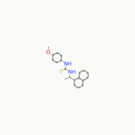 COc1ccc(NC(=S)NC(C)c2cccc3ccccc23)cc1